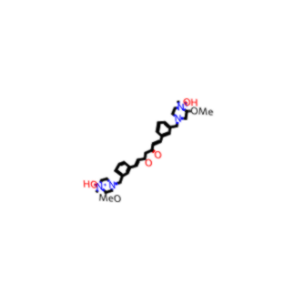 COC1CN(Cc2cccc(C=CC(=O)CC(=O)C=Cc3cccc(CN4CC[N+](C)(O)C(OC)C4)c3)c2)CC[N+]1(C)O